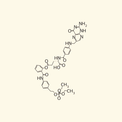 CCOP(=O)(OCC)OCCc1ccc(NC(=O)c2ccccc2OC(=O)CC[C@H](NC(=O)c2ccc(NCc3cnc4[nH]c(N)nc(=O)c4n3)cc2)C(=O)O)cc1